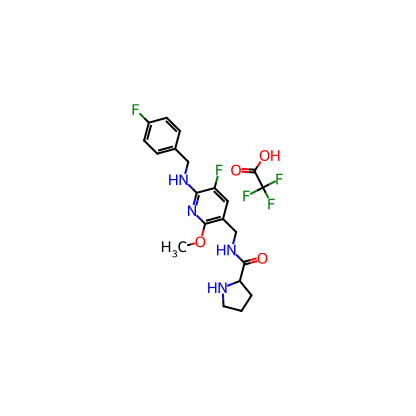 COc1nc(NCc2ccc(F)cc2)c(F)cc1CNC(=O)C1CCCN1.O=C(O)C(F)(F)F